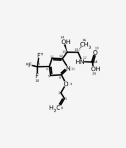 C=CCOc1cc(C(F)(F)F)cc([C@@H](O)[C@H](C)NC(=O)O)n1